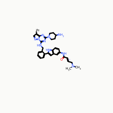 CC(C)c1cnn2c(NCc3ccccc3-c3cc4cc(NC(=O)/C=C/CN(C)C)ccc4[nH]3)nc(N3CCC(N)CC3)nc12